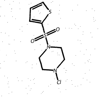 O=S(=O)(c1cccs1)N1CCN(Cl)CC1